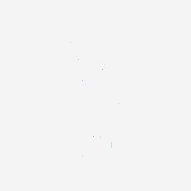 CC(C)(C)OC(=O)NC(c1ccc(F)c(F)c1)C1(O)CCC1